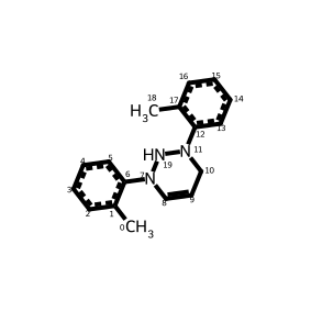 Cc1ccccc1N1C=CCN(c2ccccc2C)N1